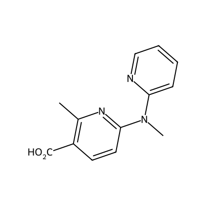 Cc1nc(N(C)c2ccccn2)ccc1C(=O)O